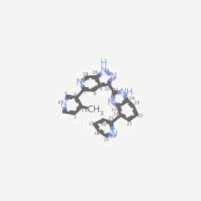 Cc1ccncc1-c1cc2c(-c3nc4c(-c5ccccn5)cccc4[nH]3)n[nH]c2cn1